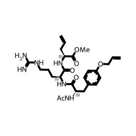 C=CCOc1ccc(C[C@H](NC(C)=O)C(=O)N[C@@H](CCCNC(=N)N)C(=O)N[C@@H](CC=C)C(=O)OC)cc1